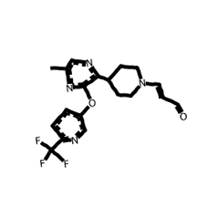 Cc1cnc(C2CCN(C=CC=O)CC2)c(Oc2ccc(C(F)(F)F)nc2)n1